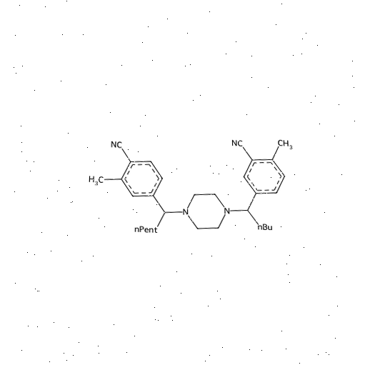 CCCCCC(c1ccc(C#N)c(C)c1)N1CCN(C(CCCC)c2ccc(C)c(C#N)c2)CC1